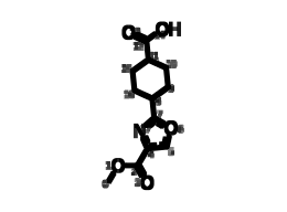 COC(=O)c1coc(C2CCC(C(=O)O)CC2)n1